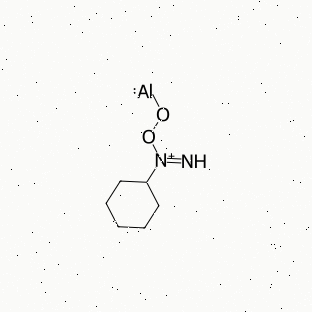 N=[N+](O[O][Al])C1CCCCC1